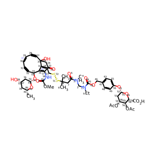 CCN(CN(C)C(=O)CC(C)(C)SSC/C=C1\C2=C(NC(=O)OC)C(=O)C[C@@]1(O)C#C/C=C\C#C[C@@H]2O[C@H]1C[C@@H](O)C[C@@H](C)O1)C(=O)OCc1ccc(O[C@H]2C[C@@H](OC(C)=O)[C@H](OC(C)=O)[C@@H](C(=O)O)O2)cc1